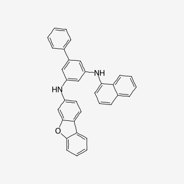 c1ccc(-c2cc(Nc3ccc4c(c3)oc3ccccc34)cc(Nc3cccc4ccccc34)c2)cc1